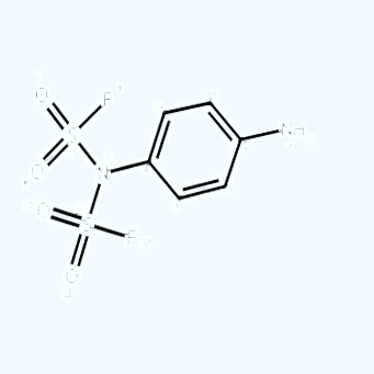 Nc1ccc(N(S(=O)(=O)F)S(=O)(=O)F)cc1